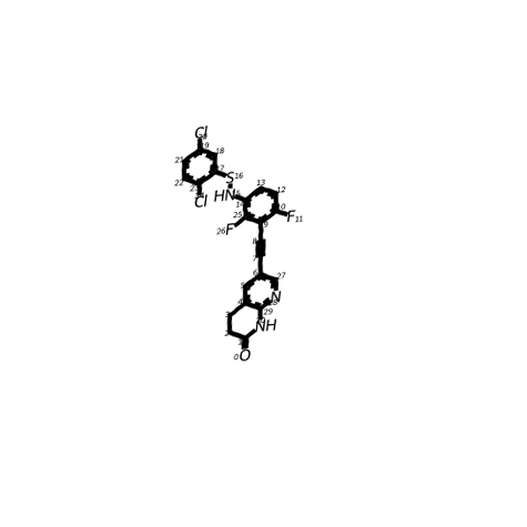 O=C1CCc2cc(C#Cc3c(F)ccc(NSc4cc(Cl)ccc4Cl)c3F)cnc2N1